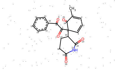 CC1=CC=CC(C(=O)C(=O)c2ccccc2)(C2CCC(=O)NC2=O)C1=O